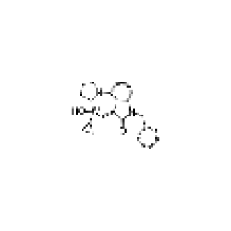 O=C1C2=C[C@](O)(C3CC3)C3CCCN3c3cccc(c32)N1Cc1ccccc1